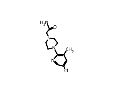 Cc1cc(Cl)cnc1N1CCN(CC(N)=O)CC1